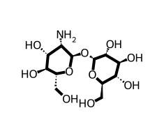 N[C@@H]1[C@@H](O[C@H]2O[C@H](CO)[C@@H](O)[C@H](O)[C@H]2O)O[C@H](CO)[C@@H](O)[C@@H]1O